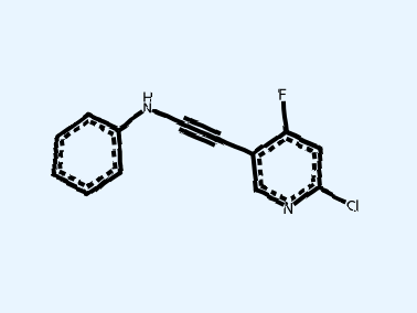 Fc1cc(Cl)ncc1C#CNc1ccccc1